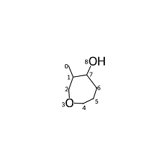 CC1COCCCC1O